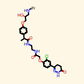 CC(C)NC[C@H](O)COc1ccc(C(C)C(=O)NCCNC(=O)COc2ccc(C3=NNC(=O)CC3)cc2Cl)cc1